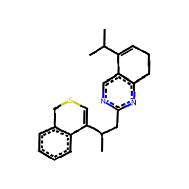 CC(C)C1=CCCc2nc(CC(C)C3=CSCc4ccccc43)ncc21